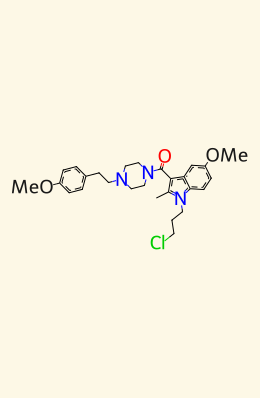 COc1ccc(CCN2CCN(C(=O)c3c(C)n(CCCCl)c4ccc(OC)cc34)CC2)cc1